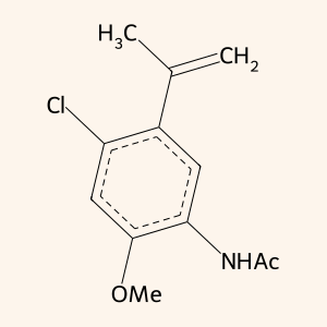 C=C(C)c1cc(NC(C)=O)c(OC)cc1Cl